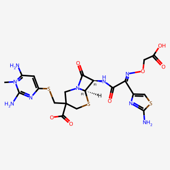 C[n+]1c(N)cc(SCC2(C(=O)[O-])CS[C@@H]3[C@H](NC(=O)C(=NOCC(=O)O)c4csc(N)n4)C(=O)N3C2)nc1N